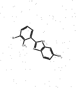 Cc1c(Br)cccc1-c1nc2ccc(N)cc2[nH]1